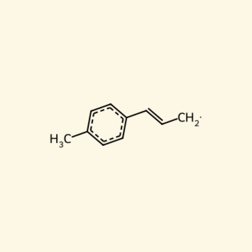 [CH2]/C=C/c1ccc(C)cc1